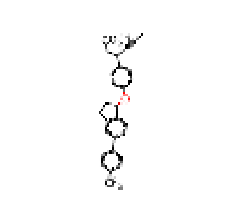 CC#CC(CC(=O)O)c1ccc(OC2CCc3cc(-c4ccc(C(F)(F)F)cc4)ccc32)cc1